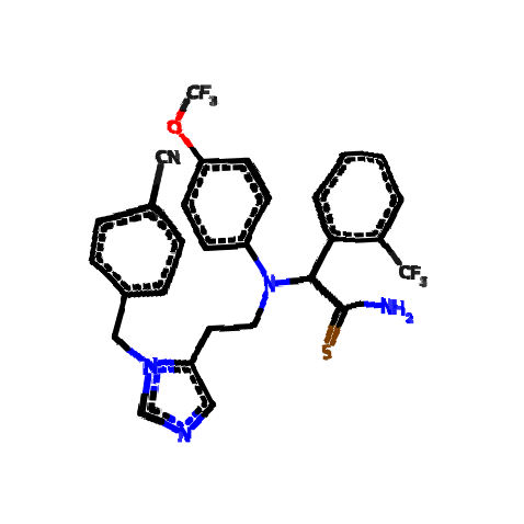 N#Cc1ccc(Cn2cncc2CCN(c2ccc(OC(F)(F)F)cc2)C(C(N)=S)c2ccccc2C(F)(F)F)cc1